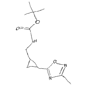 Cc1noc(C2CC2CNC(=O)OC(C)(C)C)n1